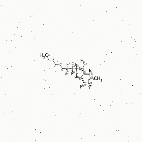 CCCCCCC(F)(F)C(F)(F)C(F)(F)N(CF)c1c(F)c(C)c(F)c(F)c1F